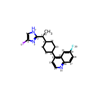 C[C@H](c1nc(I)c[nH]1)C1CCC(c2ccnc3ccc(F)cc23)CC1